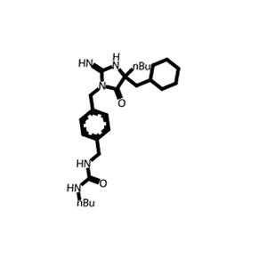 CCCCNC(=O)NCc1ccc(CN2C(=N)NC(CCCC)(CC3CCCCC3)C2=O)cc1